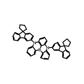 c1ccc2c(c1)B1c3ccccc3N(c3ccc4c(c3)-c3ccccc3C43CCCC3)c3cccc(c31)N2c1ccc2c(c1)-c1ccccc1C21CCCC1